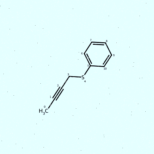 CC#CCSc1ccccc1